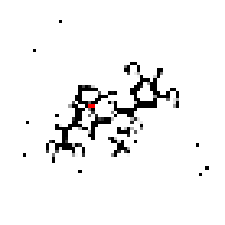 COC(=O)C(C)c1nc(C[C@H](OC2CCCC2)[C@H](O[Si](C)(C)C(C)(C)C)c2cc(OC)c(C)c(OC)c2)sc1C